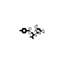 COc1cc(OC)nc(SC(COC(=O)c2ccc(C)cc2)C(C)C)n1